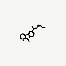 C=C/C=C\C=C(/C)c1ccc2c(c1)c1cccnc1n2C